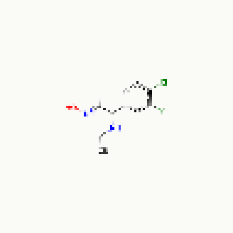 C/C(=N\O)C(NCC#N)c1ccc(Cl)c(Cl)c1